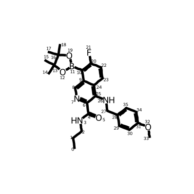 CCCNC(=O)c1ncc2c(B3OC(C)(C)C(C)(C)O3)c(F)ccc2c1NCc1ccc(OC)cc1